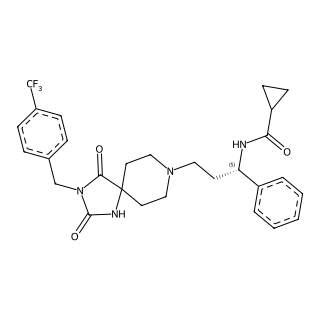 O=C(N[C@@H](CCN1CCC2(CC1)NC(=O)N(Cc1ccc(C(F)(F)F)cc1)C2=O)c1ccccc1)C1CC1